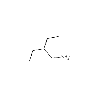 CCC(CC)C[SiH2]